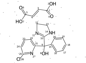 O=C(O)C=CC(=O)O.OC(C1=NCCN1)(c1ccccc1)c1cccc(Cl)n1